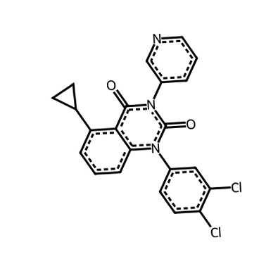 O=c1c2c(C3CC3)cccc2n(-c2ccc(Cl)c(Cl)c2)c(=O)n1-c1cccnc1